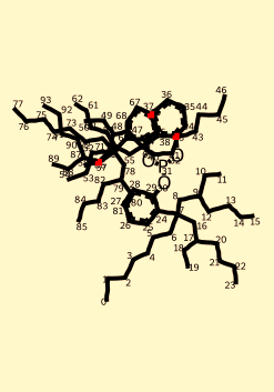 CCCCCCCC(CC(CC)CCCC)(CC(CC)CCCC)c1ccccc1OP(Oc1ccccc1C(CCCCCCC)(CC(CC)CCCC)CC(CC)CCCC)Oc1ccccc1C(CCCCCCC)(CC(CC)CCCC)CC(CC)CCCC